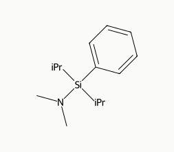 CC(C)[Si](c1ccccc1)(C(C)C)N(C)C